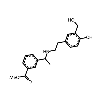 COC(=O)c1cccc(C(C)NCCc2ccc(O)c(CO)c2)c1